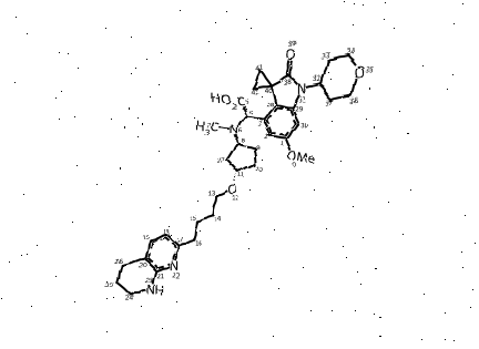 COc1cc([C@H](C(=O)O)N(C)[C@H]2CC[C@H](OCCCCc3ccc4c(n3)NCCC4)C2)c2c(c1)N(C1CCOCC1)C(=O)C21CC1